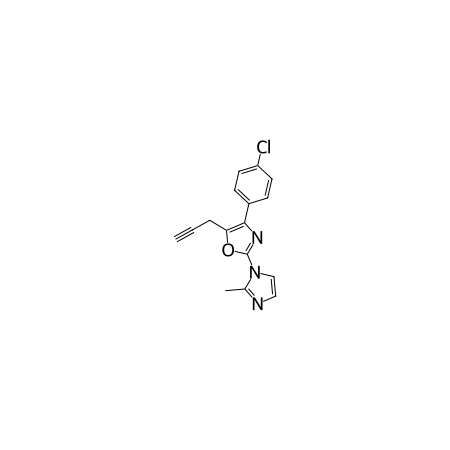 C#CCc1oc(-n2ccnc2C)nc1-c1ccc(Cl)cc1